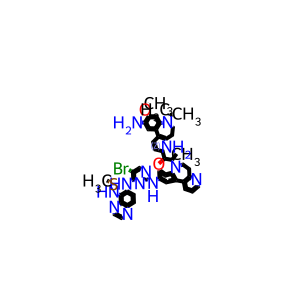 COc1cc2c(cc1N)C(/C=C\CC1Oc3cc4c(cc3Nc3ncc(Br)c(Nc5ccc6nccnc6c5NSC)n3)-c3cccnc3CCN4C1C)=C(N)CCN2C(C)C